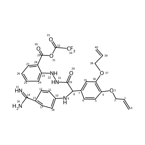 C=CCOc1ccc(C(Nc2ccc(C(=N)N)cc2)C(=O)NNc2ccccc2C(=O)OC(=O)C(F)(F)F)cc1OCC=C